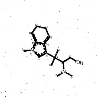 CN(C)C(CO)C(C)(C)c1cn(C)c2c1=CCCC=2